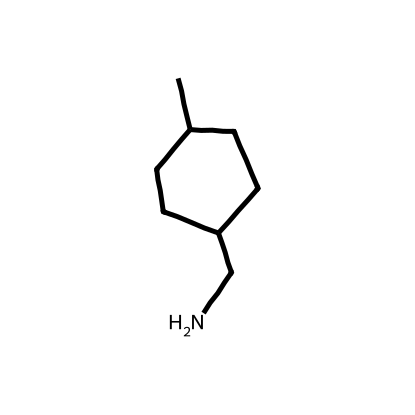 CC1CCC(CN)CC1